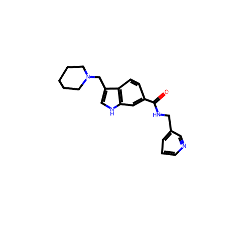 O=C(NCc1cccnc1)c1ccc2c(CN3CCCCC3)c[nH]c2c1